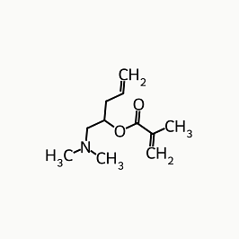 C=CCC(CN(C)C)OC(=O)C(=C)C